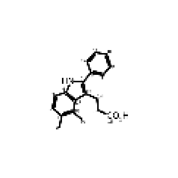 Cc1ccc2[nH]c(-c3ccccc3)c(CCC(=O)O)c2c1C